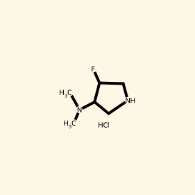 CN(C)C1CNCC1F.Cl